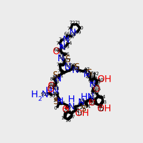 Cc1sc2nc1C(=O)N[C@@H]([C@H](O)c1ccccc1)c1nc(cs1)C(=O)N[C@@H](Cc1ccc(O)cc1)C(=O)N1C[C@H](O)[C@H](C)[C@H]1c1nc(cs1)-c1nc(cs1)-c1nc(-c3nc(C(=O)N4CCN(CCN5CCCCC5)CC4)cs3)ccc1-c1nc(cs1)C(=O)N[C@H]2CC(N)=O